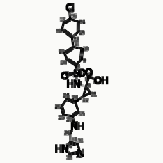 O=C(O)[C@@]1(NS(=O)(=O)c2ccc(-c3ccc(Cl)cc3)cc2)C[C@H]1c1cccc(NCc2cnc[nH]2)c1